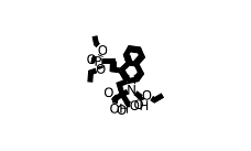 CCOC(=O)NC(Cc1ccc2ccccc2c1C=CP(=O)(OCC)OCC)(C(=O)O)C(=O)O